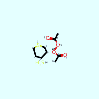 C1CCSCC1.CC(=O)OOC(C)=O.S